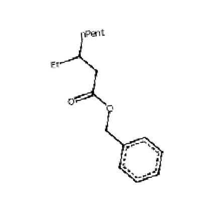 CCCCCC(CC)CC(=O)OCc1ccccc1